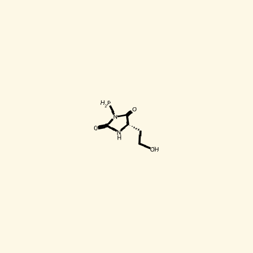 O=C1N[C@@H](CCO)C(=O)N1P